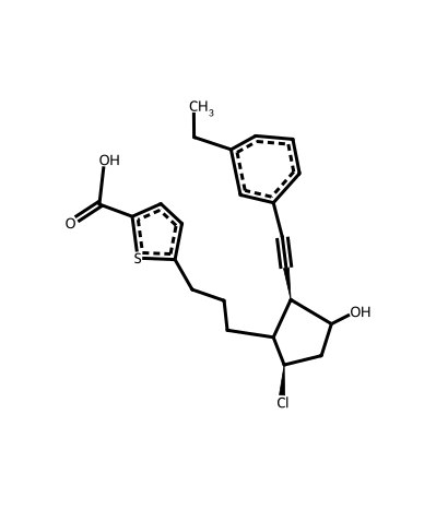 CCc1cccc(C#C[C@H]2C(O)C[C@@H](Cl)C2CCCc2ccc(C(=O)O)s2)c1